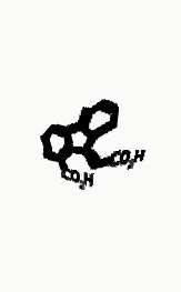 O=C(O)/C=C1\c2ccccc2-c2cccc(C(=O)O)c21